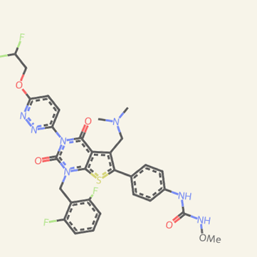 CONC(=O)Nc1ccc(-c2sc3c(c2CN(C)C)c(=O)n(-c2ccc(OCC(F)F)nn2)c(=O)n3Cc2c(F)cccc2F)cc1